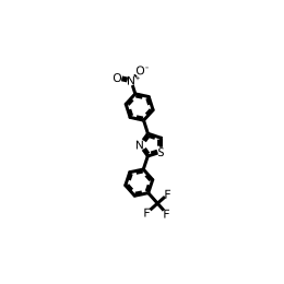 O=[N+]([O-])c1ccc(-c2csc(-c3cccc(C(F)(F)F)c3)n2)cc1